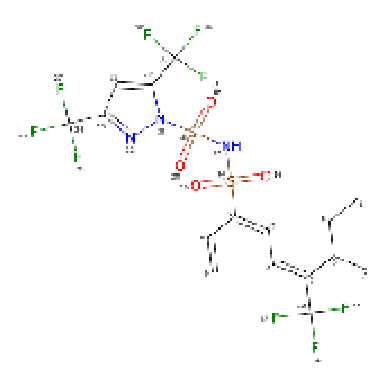 C=C/C(=C\C=C(/C(C)CC)C(F)(F)F)S(=O)(=O)NS(=O)(=O)n1nc(C(F)(F)F)cc1C(F)(F)F